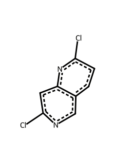 Clc1cc2nc(Cl)ccc2cn1